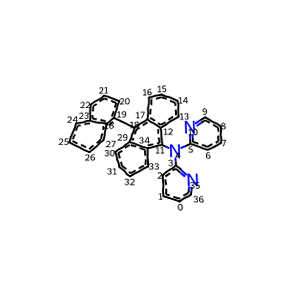 c1ccc(N(c2ccccn2)c2c3ccccc3c(-c3cccc4ccccc34)c3ccccc23)nc1